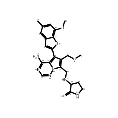 COCc1c(-c2cc3cc(C)cc(OC)c3s2)c2c(N)ncnn2c1CNC1CCNC1=O